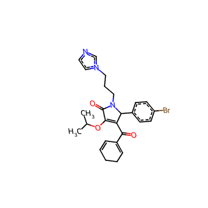 CC(C)OC1=C(C(=O)C2=CCCC=C2)C(c2ccc(Br)cc2)N(CCCn2ccnc2)C1=O